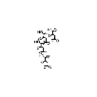 O=C([O-])CC(=O)C(=O)O.O=C([O-])CC(=O)C(=O)O.O=C([O-])CC(=O)C(=O)O.O=C([O-])CC(=O)C(=O)O.[C+4]